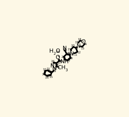 Cc1c(C(=O)Nc2ccc(N3CCC(N4CCOCC4)CC3)c(C#N)c2)cnn1Cc1ccccc1.O